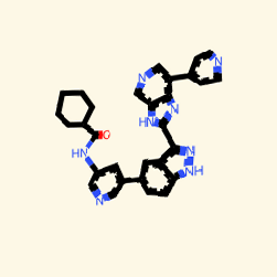 O=C(Nc1cncc(-c2ccc3[nH]nc(-c4nc5c(-c6ccncc6)cncc5[nH]4)c3c2)c1)C1CCCCC1